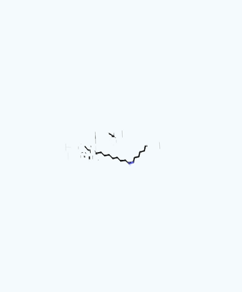 CCC(=O)O.CCCCCC/C=C\CCCCCCCC(=O)NC(CC)N(C)C